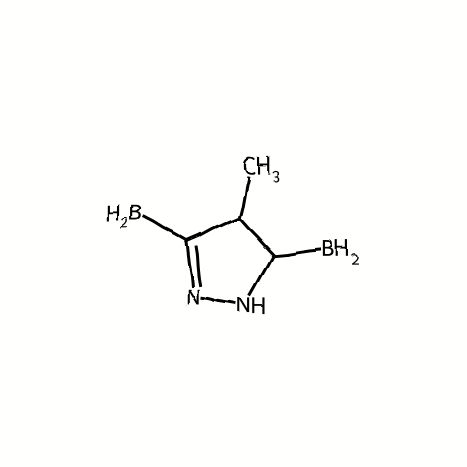 BC1=NNC(B)C1C